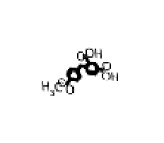 COC(=O)c1ccc(Cc2ccc(C(=O)O)cc2C(=O)O)cc1